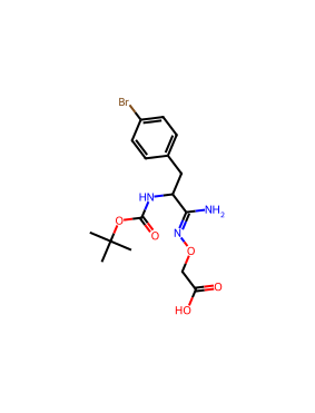 CC(C)(C)OC(=O)NC(Cc1ccc(Br)cc1)/C(N)=N/OCC(=O)O